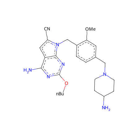 CCCCOc1nc(N)c2cc(C#N)n(Cc3ccc(CN4CCC(N)CC4)cc3OC)c2n1